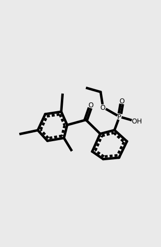 CCOP(=O)(O)c1ccccc1C(=O)c1c(C)cc(C)cc1C